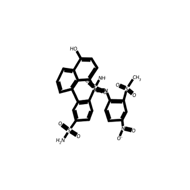 CS(=O)(=O)c1cc([N+](=O)[O-])ccc1N=Nc1ccc(O)c2cccc(-c3cc(S(N)(=O)=O)ccc3S([NH])(=O)=O)c12